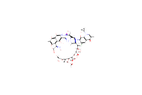 COc1c(N2CCN(/N=C/c3c4c(O)c5c(O)c(C)c6c(c5c3O)/C(=N/O)[C@@](C)(O/C=C/[C@H](OC)[C@@H](C)[C@@H](OC(C)=O)[C@H](C)[C@H](O)[C@H](C)[C@@H](O)[C@@H](C)/C=C/C=C(/C)C(=O)N4)O6)C(C)C2)c(F)cc2c(=O)c(C)cn(C3CC3)c12